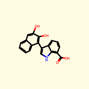 O=C(O)c1cccc2c(-c3c(O)c(O)cc4ccccc34)c[nH]c12